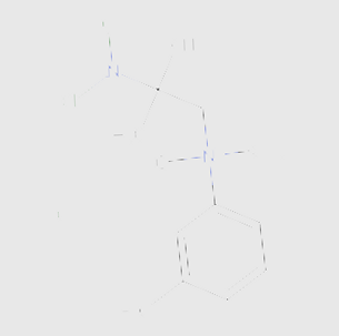 CC(C)(C[N+](C)(C)c1cccc(C(F)(F)F)c1)N(Cl)Cl.[Cl-]